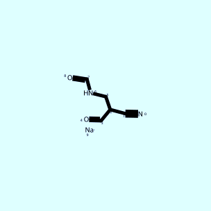 N#CC(C=O)CNC=O.[Na]